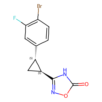 O=c1[nH]c([C@H]2C[C@@H]2c2ccc(Br)c(F)c2)no1